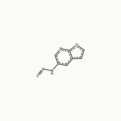 S=NBc1cnc2occc2c1